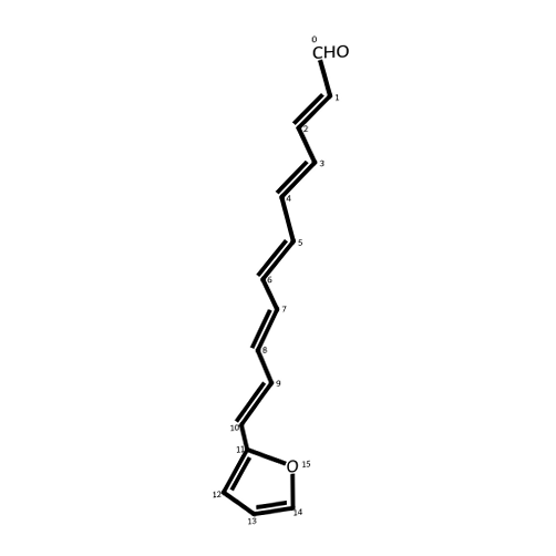 O=C/C=C/C=C/C=C/C=C/C=C/c1ccco1